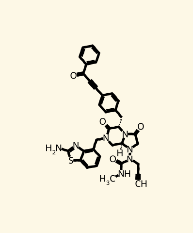 C#CCN(C(=O)NC)N1CC(=O)N2[C@@H](Cc3ccc(C#CC(=O)c4ccccc4)cc3)C(=O)N(Cc3cccc4sc(N)nc34)C[C@@H]21